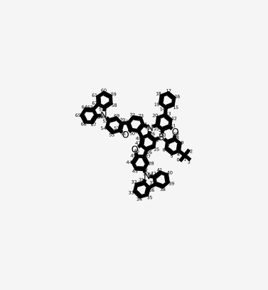 CC(C)(C)c1ccc2c(c1)Oc1cc(-c3ccccc3)cc3c1B2c1cc2c4cc(-n5c6ccccc6c6ccccc65)ccc4oc2c2c4c5oc6ccc(-n7c8ccccc8c8ccccc87)cc6c5ccc4n-3c12